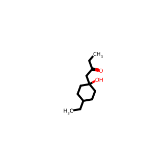 CCC(=O)CC1(O)CCC(CC)CC1